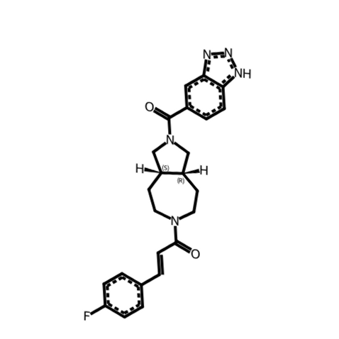 O=C(C=Cc1ccc(F)cc1)N1CC[C@@H]2CN(C(=O)c3ccc4[nH]nnc4c3)C[C@@H]2CC1